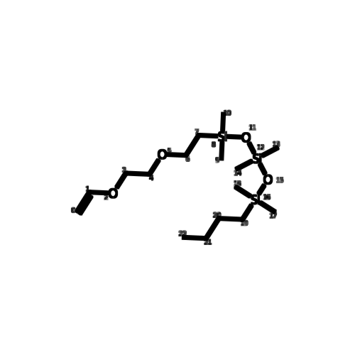 C=COCCOCC[Si](C)(C)O[Si](C)(C)O[Si](C)(C)CCCC